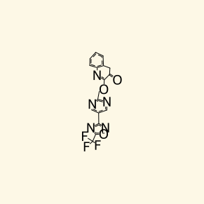 O=C1Cc2ccccc2N=C1OCc1ncc(-c2noc(C(F)(F)F)n2)cn1